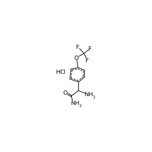 Cl.NC(=O)C(N)c1ccc(OC(F)(F)F)cc1